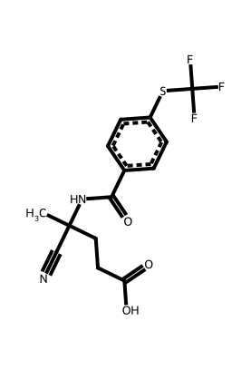 CC(C#N)(CCC(=O)O)NC(=O)c1ccc(SC(F)(F)F)cc1